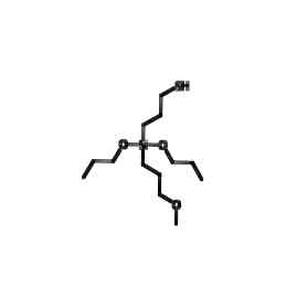 CCCO[Si](CCCS)(CCCOC)OCCC